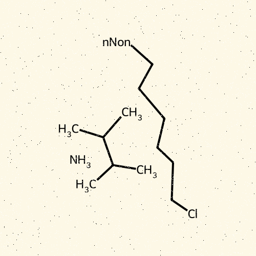 CC(C)C(C)C.CCCCCCCCCCCCCCCCl.N